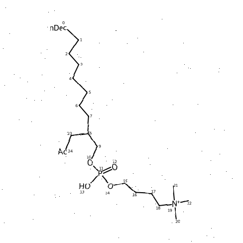 CCCCCCCCCCCCCCCCCC(COP(=O)(O)OCCCC[N+](C)(C)C)CC(C)=O